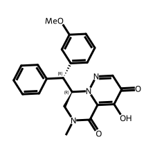 COc1cccc([C@@H](c2ccccc2)[C@@H]2CN(C)C(=O)c3c(O)c(=O)cnn32)c1